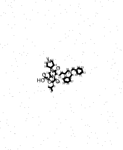 CC(C)C[C@H]1ON(C(=O)O)C2CN(C3CCN(C)CC3)C(=O)[C@H](CCCCN(Cc3ccccc3)Cc3ccccc3)N2C1=O